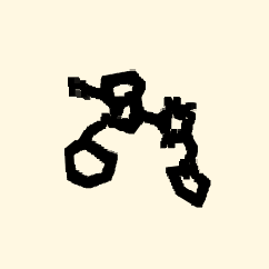 CCc1cccc2c(-c3nsc(CN4CCCC4)n3)cn(CC3CCCCC3)c12